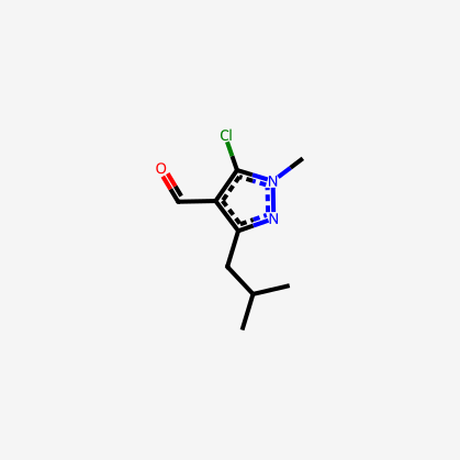 CC(C)Cc1nn(C)c(Cl)c1C=O